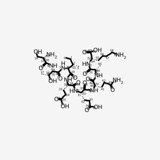 CC[C@H](C)[C@H](NC(=O)[C@@H](NC(=O)[C@@H](N)CO)[C@@H](C)O)C(=O)N[C@@H](CCC(=O)O)C(=O)N[C@@H](CCC(=O)O)C(=O)N[C@@H](CCC(N)=O)C(=O)N[C@@H](C)C(=O)N[C@@H](CCCCN)C(=O)O